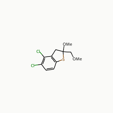 [CH2]OCC1(OC)Cc2c(ccc(Cl)c2Cl)S1